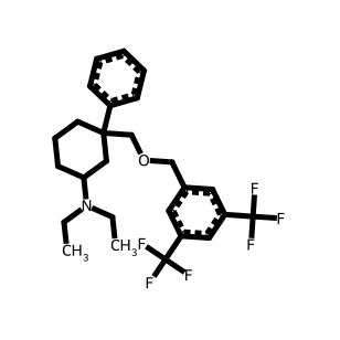 CCN(CC)C1CCCC(COCc2cc(C(F)(F)F)cc(C(F)(F)F)c2)(c2ccccc2)C1